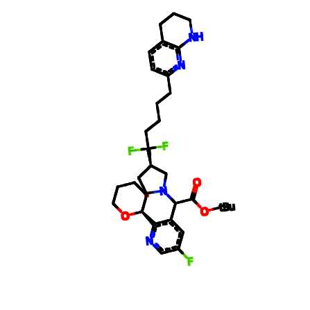 CC(C)(C)OC(=O)C(c1cc(F)cnc1[C@@H]1CCCCO1)N1CC[C@@H](C(F)(F)CCCCc2ccc3c(n2)NCCC3)C1